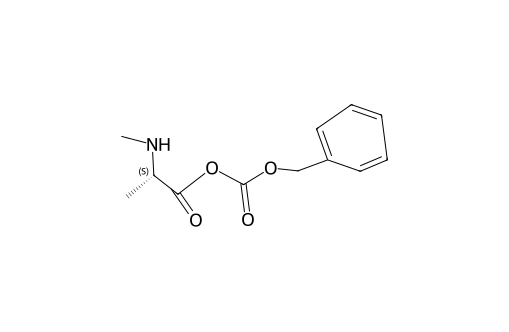 CN[C@@H](C)C(=O)OC(=O)OCc1ccccc1